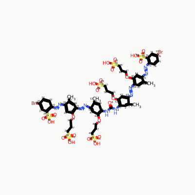 Cc1cc(NC(=O)Nc2cc(C)c(N=Nc3cc(C)c(N=Nc4ccc(Br)cc4S(=O)(=O)O)cc3OCCCS(=O)(=O)O)cc2OCCCS(=O)(=O)O)c(OCCCS(=O)(=O)O)cc1N=Nc1cc(C)c(N=Nc2ccc(Br)cc2S(=O)(=O)O)cc1OCCCS(=O)(=O)O